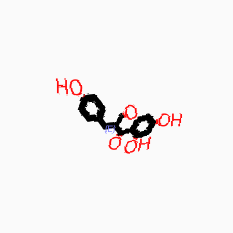 O=C1/C(=C/c2ccc(O)cc2)COc2cc(O)cc(O)c21